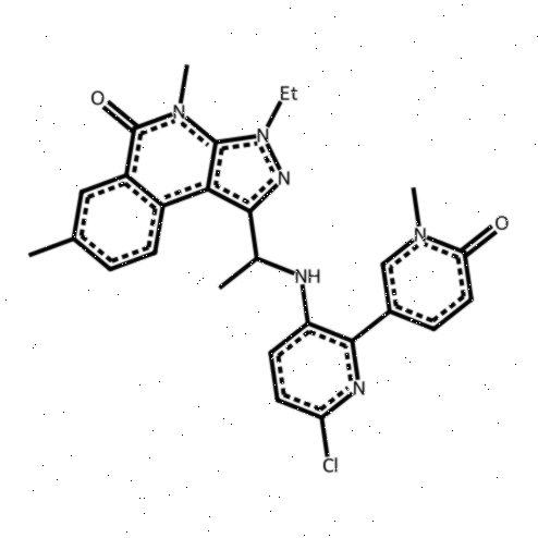 CCn1nc(C(C)Nc2ccc(Cl)nc2-c2ccc(=O)n(C)c2)c2c3ccc(C)cc3c(=O)n(C)c21